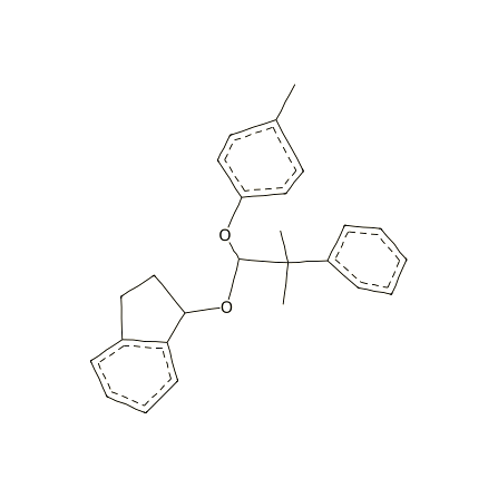 Cc1ccc(OC(OC2CCc3ccccc32)C(C)(C)c2ccccc2)cc1